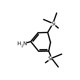 C[Si](C)(C)C1=CC(N)=CC([Si](C)(C)C)C1